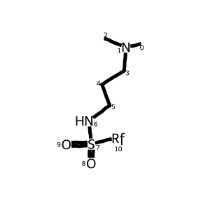 CN(C)CCCN[S](=O)(=O)[Rf]